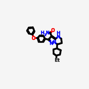 CCC1CCC(C2CCNc3c(C(N)=O)c(-c4ccc(Oc5ccccc5)cc4)nn32)CC1